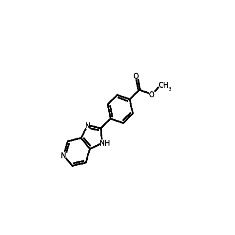 COC(=O)c1ccc(-c2nc3cnccc3[nH]2)cc1